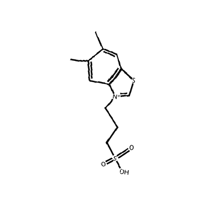 Cc1cc2sc[n+](CCCS(=O)(=O)O)c2cc1C